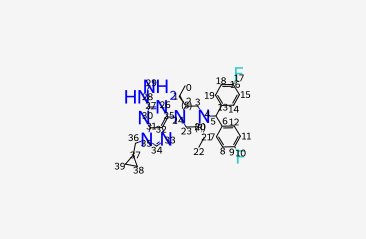 CC[C@H]1CN(C(c2ccc(F)cc2)c2ccc(F)cc2)[C@H](CC)CN1c1nc(NN)nc2c1ncn2CC1CC1